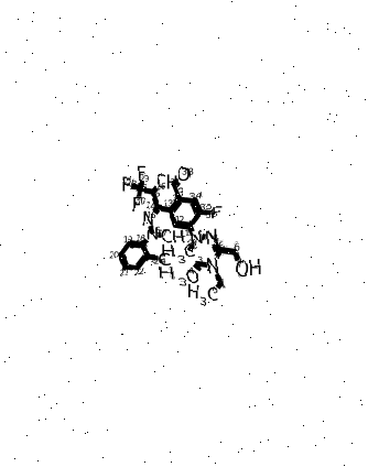 CCN(C=O)/C(CO)=N\N(C)c1cc(/C(=N\N(C)c2ccccc2C)C(C)C(F)(F)F)c(C=O)cc1F